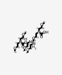 COCCN.COCCN.COCCN(CCOC)C(=O)O.COCCN(CCOC)C(=O)O